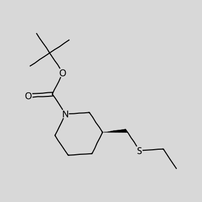 CCSC[C@H]1CCCN(C(=O)OC(C)(C)C)C1